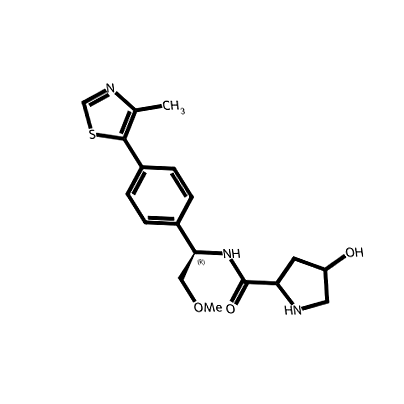 COC[C@H](NC(=O)C1CC(O)CN1)c1ccc(-c2scnc2C)cc1